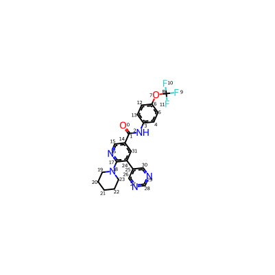 O=C(Nc1ccc(OC(F)(F)F)cc1)c1cnc(N2CCCCC2)c(-c2cncnc2)c1